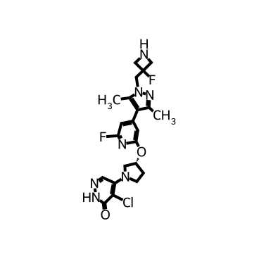 Cc1nn(CC2(F)CNC2)c(C)c1-c1cc(F)nc(O[C@@H]2CCN(c3cn[nH]c(=O)c3Cl)C2)c1